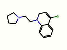 BrC1=CCN(CCN2CCCC2)c2ccccc21